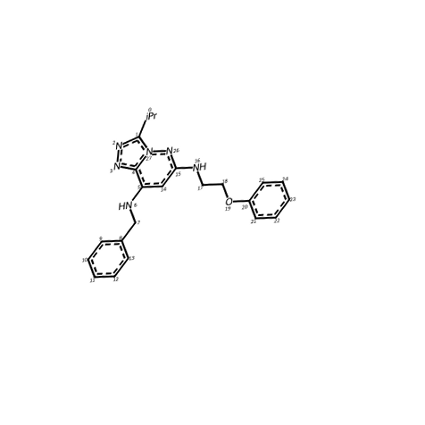 CC(C)c1nnc2c(NCc3ccccc3)cc(NCCOc3ccccc3)nn12